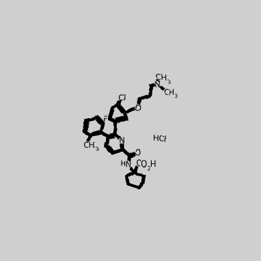 Cc1cccc(F)c1-c1ccc(C(=O)NC2(C(=O)O)CCCCC2)nc1-c1ccc(Cl)c(OCCCN(C)C)c1.Cl